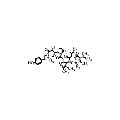 CC[C@H](C)[C@@H]([C@@H](CC(=O)N1CCC[C@H]1[C@H](OC)[C@@H](C)C(=O)NCCc1ccc(O)cc1)OC)N(C)C(=O)[C@@H](NC(=O)[C@H](C(C)C)N(C)C)C(C)C